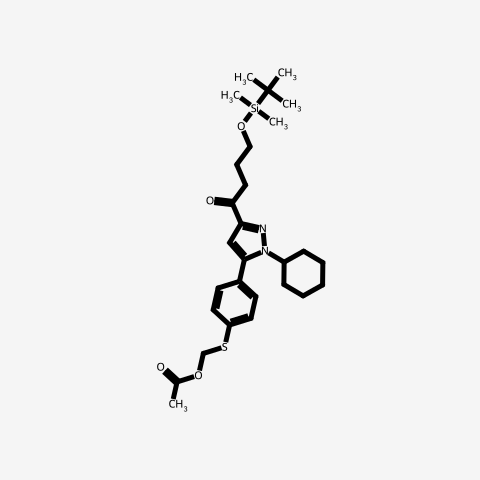 CC(=O)OCSc1ccc(-c2cc(C(=O)CCCO[Si](C)(C)C(C)(C)C)nn2C2CCCCC2)cc1